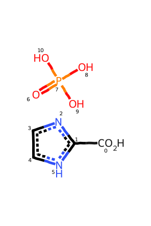 O=C(O)c1ncc[nH]1.O=P(O)(O)O